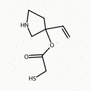 C=CC1(OC(=O)CS)CCNC1